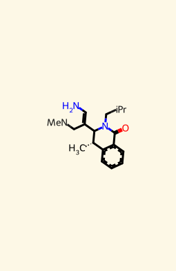 CNC/C(=C\N)C1[C@@H](C)c2ccccc2C(=O)N1CC(C)C